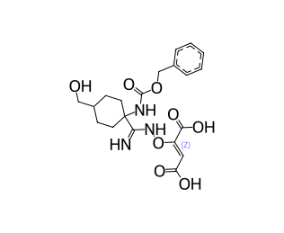 N=C(NO/C(=C\C(=O)O)C(=O)O)C1(NC(=O)OCc2ccccc2)CCC(CO)CC1